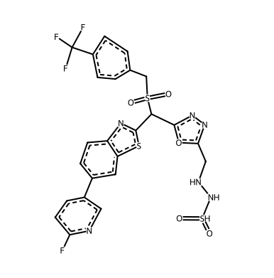 O=[SH](=O)NNCc1nnc(C(c2nc3ccc(-c4ccc(F)nc4)cc3s2)S(=O)(=O)Cc2ccc(C(F)(F)F)cc2)o1